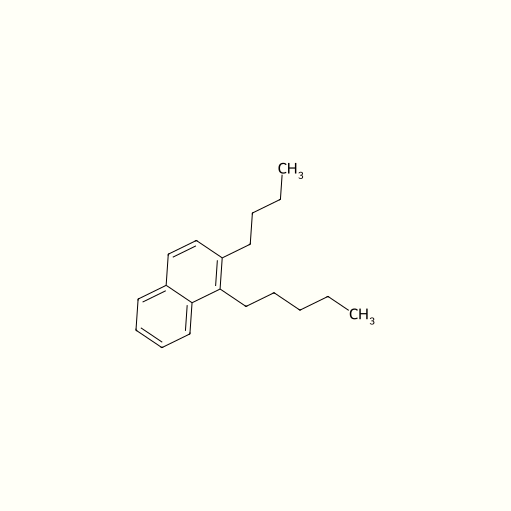 CCCCCc1c(CCCC)ccc2ccccc12